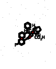 CC(CC#Cc1ccc(F)cc1)N1[C@H]2CC[C@@H]1[C@@H](C(=O)O)N(C(=O)C(c1ccccc1)c1ccccc1)C2